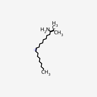 CCCCCCCC/C=C\CCCCCCCC(N)=C(C)C